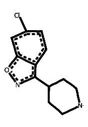 Clc1ccc2c(C3CC[N]CC3)noc2c1